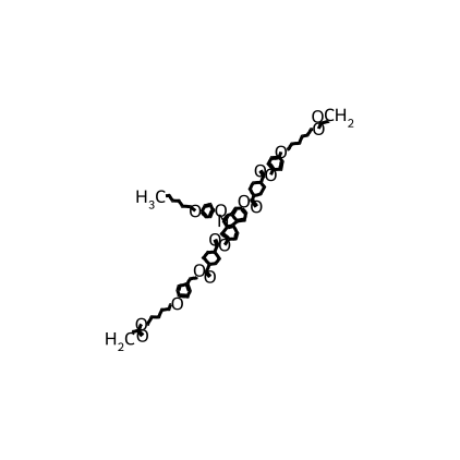 C=CC(=O)OCCCCCCOc1ccc(CCOC(=O)C2CCC(C(=O)Oc3ccc4c(c3)nc(Oc3ccc(OCCCCCC)cc3)c3cc(OC(=O)C5CCC(C(=O)Oc6ccc(OCCCCCCOC(=O)C=C)cc6)CC5)ccc34)CC2)cc1